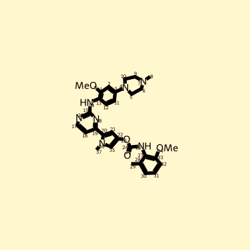 COc1cc(N2CCN(C)CC2)ccc1Nc1nccc(-c2cc(OC(=O)Nc3c(C)cccc3OC)cn2C)n1